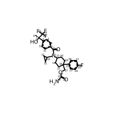 C[C@](O)(c1ccc(C(=O)N(C2CC2)C2CCC(COC(N)=O)(c3ccc(F)cc3)CC2)cc1)C(F)(F)F